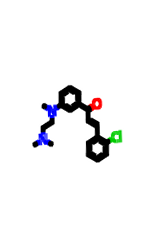 CN(C)CCN(C)c1cccc(C(=O)C=Cc2ccccc2Cl)c1